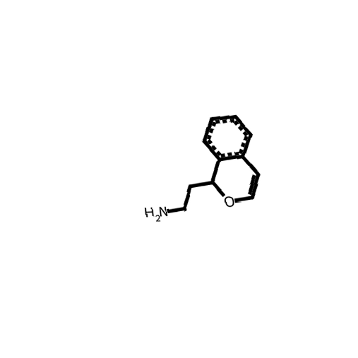 NCCC1OC=Cc2ccccc21